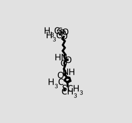 CSC(C)C1=CC=C(C(=O)NCCOC(=O)NCCCCCCOP(C)(=O)SC)C1C